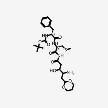 CSC[C@H](NC(=O)[C@H](Cc1ccccc1)NC(=O)OC(C)(C)C)C(=O)NC(=O)CC(O)C(N)CC1OCCCO1